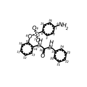 Nc1ccc(S(=O)(=O)Oc2ccccc2NC(=O)Nc2ccccc2)cc1